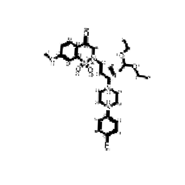 C=C.CCOC(C)OCC.COc1ccc2c(c1)S(=O)(=O)N(CCCN1CCN(c3ccc(F)cc3)CC1)CC2=O